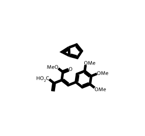 C=C(C(=O)O)C(=Cc1cc(OC)c(OC)c(OC)c1)C(=O)OC.c1cc2cc-2c1